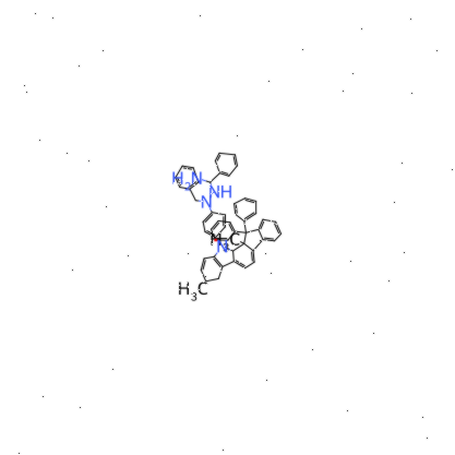 CC1C=CC2=C(C1)C1=CC=C3c4ccccc4C(c4ccccc4)(c4ccccc4)C3(C)C1N2c1ccc(N(Cc2ccccc2)NC(N)c2ccccc2)cc1